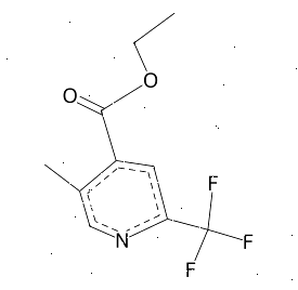 CCOC(=O)c1cc(C(F)(F)F)ncc1C